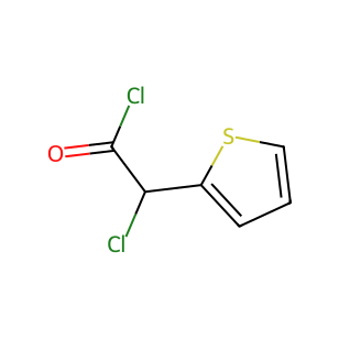 O=C(Cl)C(Cl)c1cccs1